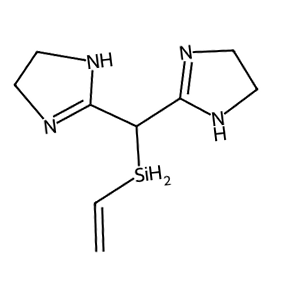 C=C[SiH2]C(C1=NCCN1)C1=NCCN1